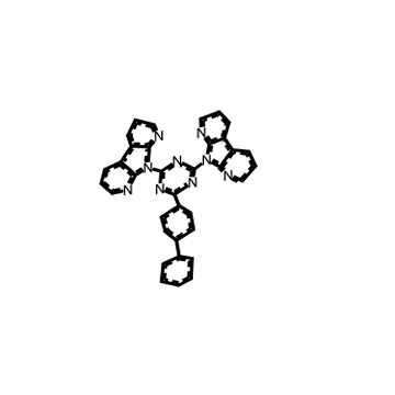 c1ccc(-c2ccc(-c3nc(-n4c5ncccc5c5cccnc54)nc(-n4c5ncccc5c5cccnc54)n3)cc2)cc1